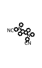 N#Cc1ccc(N(c2ccccc2)c2cc3c(cc(N(c4ccccc4)c4ccc(C#N)cc4)c4ccccc43)c3c2CCC=C3)cc1